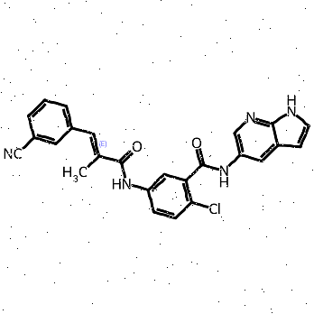 C/C(=C\c1cccc(C#N)c1)C(=O)Nc1ccc(Cl)c(C(=O)Nc2cnc3[nH]ccc3c2)c1